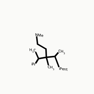 CCCC(C)C(C)C(C)(CCNC)C(C)C(C)C